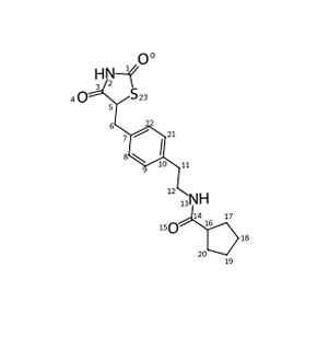 O=C1NC(=O)C(Cc2ccc(CCNC(=O)C3CCCC3)cc2)S1